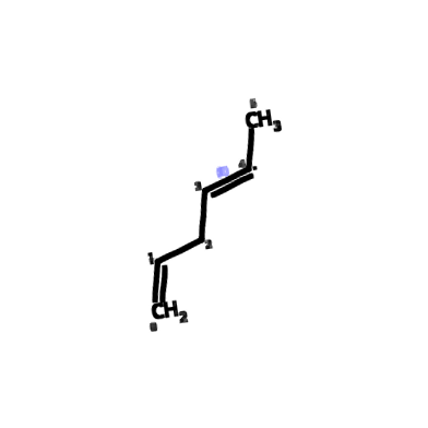 C=[C]C/C=[C]/C